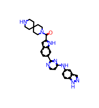 O=C(c1cc2ccc(-c3nccc(Nc4ccc5[nH]ncc5c4)n3)cc2[nH]1)N1CCC2(CCNCC2)CC1